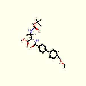 CCOCc1ccc(-c2ccc(C(=O)N[C@H](C(=O)OC)C(C)(C)NC(=O)OC(C)(C)C)cc2)cc1